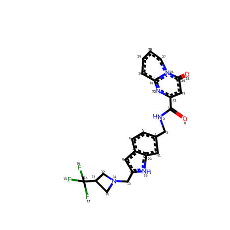 O=C(NCc1ccc2cc(CN3CC(C(F)(F)F)C3)[nH]c2c1)c1cc(=O)n2ccccc2n1